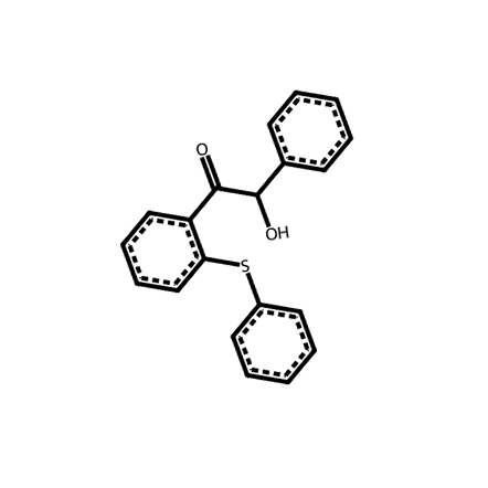 O=C(c1ccccc1Sc1ccccc1)C(O)c1ccccc1